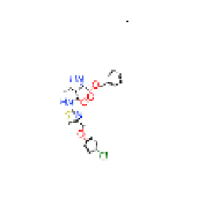 CCC(C(=N)C(=O)OCc1ccccc1)C(=O)Nc1nc(COc2ccc(Cl)cc2)cs1